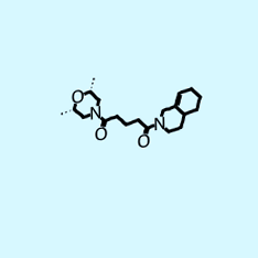 C[C@@H]1CN(C(=O)CCCC(=O)N2CCC3CCCC=C3C2)C[C@H](C)O1